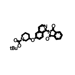 CC(C)(C)OC(=O)N1CCCC(Oc2ccc3c(N4C(=O)c5ccccc5C4=O)nccc3c2)C1